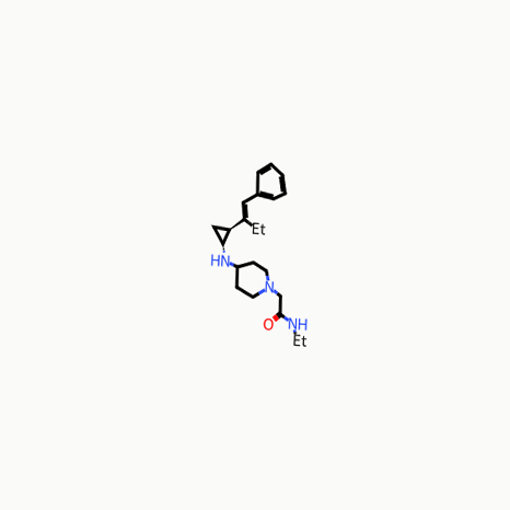 CCNC(=O)CN1CCC(N[C@@H]2C[C@H]2/C(=C/c2ccccc2)CC)CC1